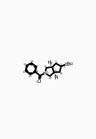 CC(C)(C)C1C[C@@H]2CN(C(=O)c3ccccc3)C[C@@H]2C1